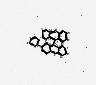 c1ccc(-c2ccc3cc4ccccc4c(-c4c5ccccc5cc5ccccc45)c3c2)cc1